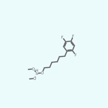 CO[SiH](OC)OCCCCCCc1cc(F)c(F)cc1F